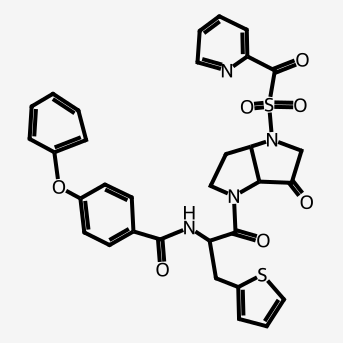 O=C(NC(Cc1cccs1)C(=O)N1CCC2C1C(=O)CN2S(=O)(=O)C(=O)c1ccccn1)c1ccc(Oc2ccccc2)cc1